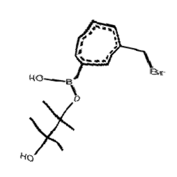 CC(C)(O)C(C)(C)OB(O)c1cccc(CBr)c1